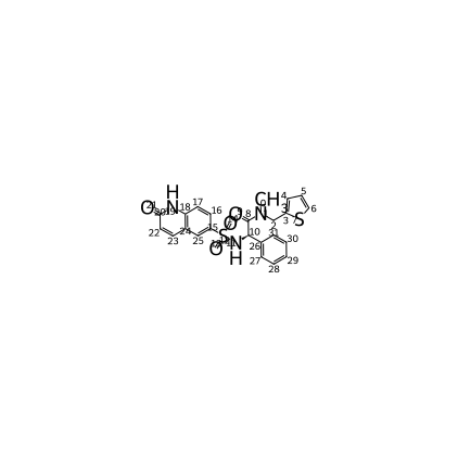 CN(Cc1cccs1)C(=O)[C@H](NS(=O)(=O)c1ccc2[nH]c(=O)ccc2c1)c1ccccc1